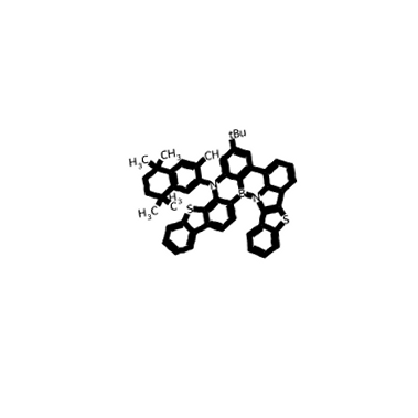 Cc1cc2c(cc1N1c3cc(C(C)(C)C)cc4c3B(c3ccc5c(sc6ccccc65)c31)N1c3c(sc5ccccc35)C3C=CC=C4C31)C(C)(C)CCC2(C)C